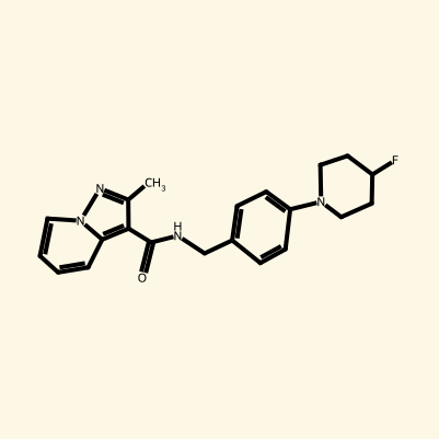 Cc1nn2ccccc2c1C(=O)NCc1ccc(N2CCC(F)CC2)cc1